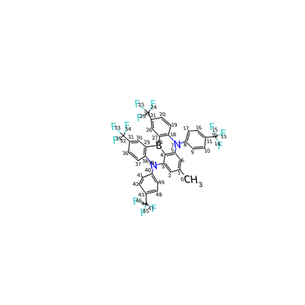 Cc1cc2c3c(c1)N(c1ccc(C(F)(F)F)cc1)c1ccc(C(F)(F)F)cc1B3c1cc(C(F)(F)F)ccc1N2c1ccc(C(F)(F)F)cc1